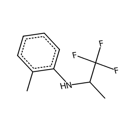 Cc1ccccc1NC(C)C(F)(F)F